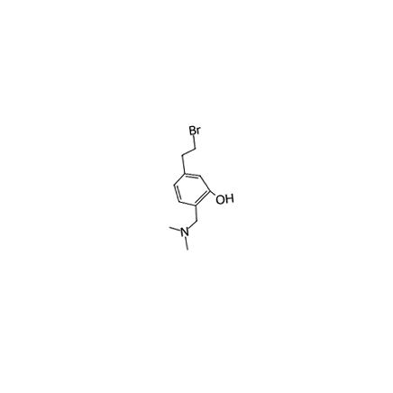 CN(C)Cc1ccc(CCBr)cc1O